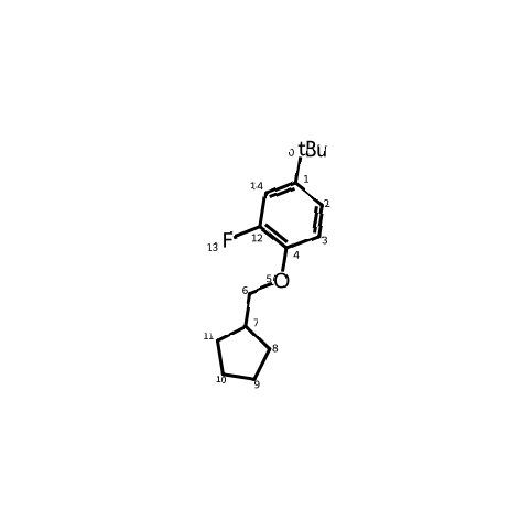 CC(C)(C)c1ccc(OCC2CCCC2)c(F)c1